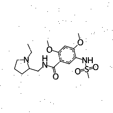 CCN1CCCC1CNC(=O)c1cc(NS(C)(=O)=O)c(OC)cc1OC